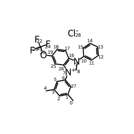 Cc1cc(C)cc(-[n+]2cn(-c3ccccc3)c3ccc(OC(F)(F)F)cc32)c1.[Cl-]